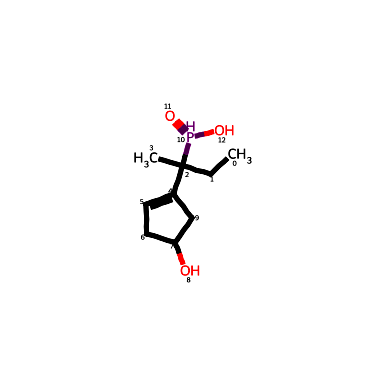 CCC(C)(C1=CCC(O)C1)[PH](=O)O